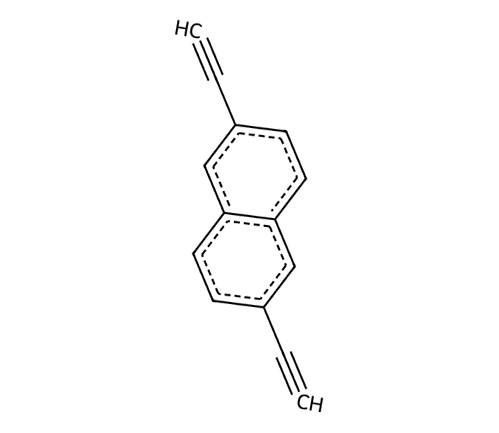 C#Cc1ccc2cc(C#C)ccc2c1